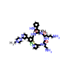 Cc1[nH]c2ccccc2c1CC1C(=O)NCc2cc(-c3ccnc(N4CCN(C)CC4)c3)cc(Cl)c2Sc2ncccc2CNC(CCCN)C(=O)NC(CCCCN)C(=O)N1C